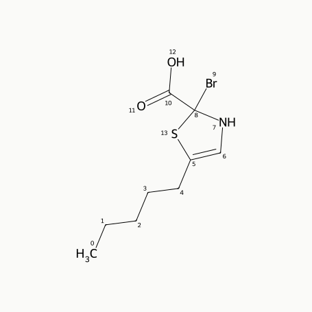 CCCCCC1=CNC(Br)(C(=O)O)S1